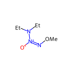 CCN(CC)/[N+]([O-])=N\OC